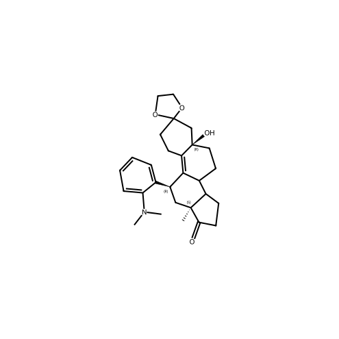 CN(C)c1ccccc1[C@@H]1C[C@]2(C)C(=O)CCC2C2CC[C@@]3(O)CC4(CCC3=C21)OCCO4